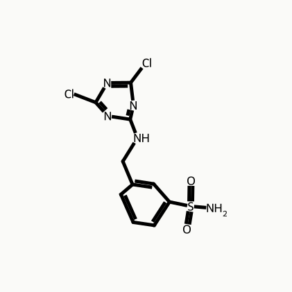 NS(=O)(=O)c1cccc(CNc2nc(Cl)nc(Cl)n2)c1